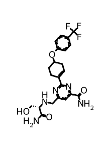 NC(=O)c1cc(CN[C@@H](CO)C(N)=O)nc(C2=CCC(Oc3ccc(C(F)(F)F)cc3)CC2)n1